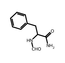 NC(=O)C(Cc1ccccc1)NC=O